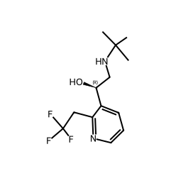 CC(C)(C)NC[C@H](O)c1cccnc1CC(F)(F)F